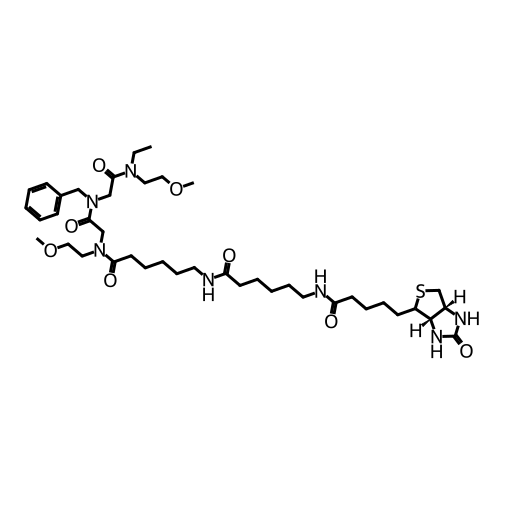 CCN(CCOC)C(=O)CN(Cc1ccccc1)C(=O)CN(CCOC)C(=O)CCCCCNC(=O)CCCCCNC(=O)CCCCC1SC[C@@H]2NC(=O)N[C@H]12